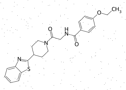 CCOc1ccc(C(=O)NCC(=O)N2CCC(c3nc4ccccc4s3)CC2)cc1